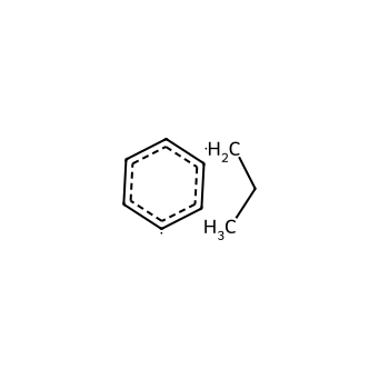 [CH2]CC.[c]1ccccc1